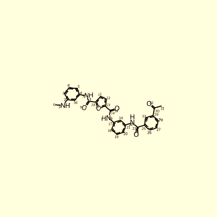 CNc1cccc(NC(=O)c2ccc(C(=O)Nc3cccc(NC(=O)c4cccc(C(C)=O)c4)c3)o2)c1